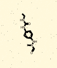 CCNC(=O)Nc1ccc(NN(I)C=O)cc1